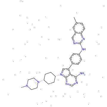 Cc1ccc2nc(Nc3ccc(-c4cn([C@H]5CC[C@@H](N6CCN(C)CC6)CC5)c5ncnc(N)c45)cc3)ncc2c1